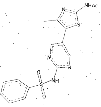 CC(=O)Nc1nc(C)c(-c2cnc(NS(=O)(=O)c3ccccc3)nc2)s1